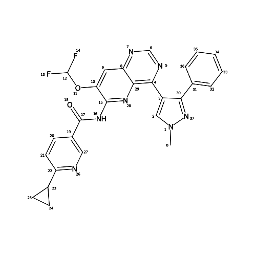 Cn1cc(-c2ncnc3cc(OC(F)F)c(NC(=O)c4ccc(C5CC5)nc4)nc23)c(-c2ccccc2)n1